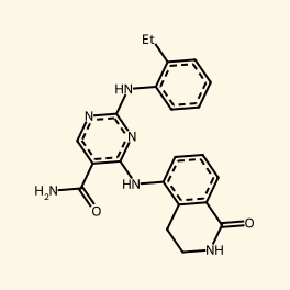 CCc1ccccc1Nc1ncc(C(N)=O)c(Nc2cccc3c2CCNC3=O)n1